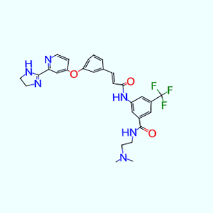 CN(C)CCNC(=O)c1cc(NC(=O)C=Cc2cccc(Oc3ccnc(C4=NCCN4)c3)c2)cc(C(F)(F)F)c1